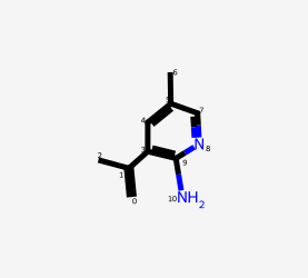 C=C(C)c1cc(C)cnc1N